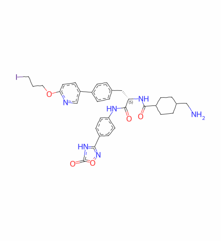 NCC1CCC(C(=O)N[C@@H](Cc2ccc(-c3ccc(OCCCI)nc3)cc2)C(=O)Nc2ccc(-c3noc(=O)[nH]3)cc2)CC1